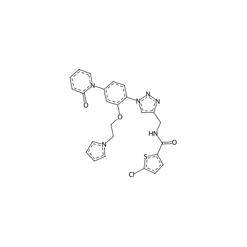 O=C(NCc1cn(-c2ccc(-n3ccccc3=O)cc2OCCn2cccc2)nn1)c1ccc(Cl)s1